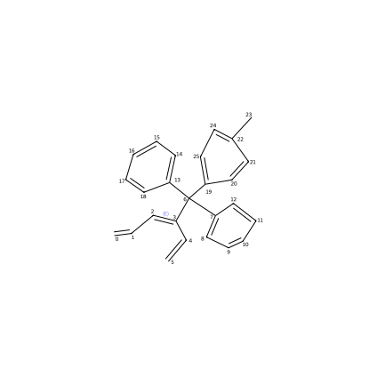 C=C/C=C(\C=C)C(c1ccccc1)(c1ccccc1)c1ccc(C)cc1